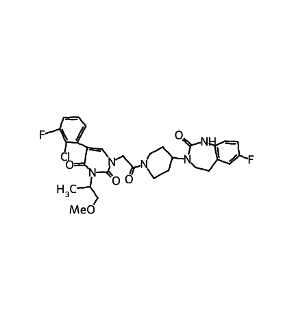 COCC(C)n1c(=O)c(-c2cccc(F)c2Cl)cn(CC(=O)N2CCC(N3CCc4cc(F)ccc4NC3=O)CC2)c1=O